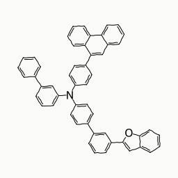 c1ccc(-c2cccc(N(c3ccc(-c4cccc(-c5cc6ccccc6o5)c4)cc3)c3ccc(-c4cc5ccccc5c5ccccc45)cc3)c2)cc1